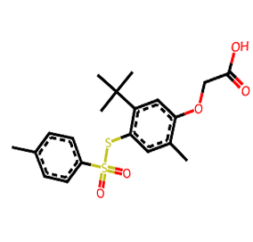 Cc1ccc(S(=O)(=O)Sc2cc(C)c(OCC(=O)O)cc2C(C)(C)C)cc1